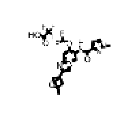 Cn1ccc(C(=O)Nc2cn3cc(C45COC(C)(C4)C5)nc3cc2OC(F)F)n1.O=C(O)C(F)(F)F